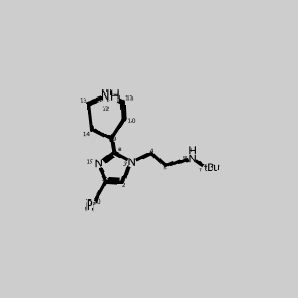 CC(C)c1cn(CCNC(C)(C)C)c(C2CCNCC2)n1